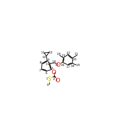 CSC(=O)Oc1cccc(C2CC2)c1COc1cc(C)c(C)cc1C